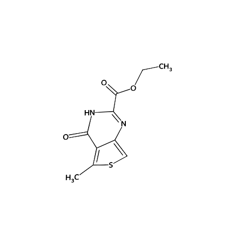 CCOC(=O)c1nc2csc(C)c2c(=O)[nH]1